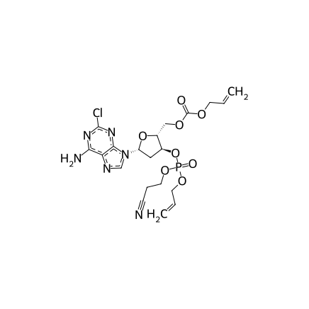 C=CCOC(=O)OC[C@H]1O[C@@H](n2cnc3c(N)nc(Cl)nc32)C[C@@H]1OP(=O)(OCC=C)OCCC#N